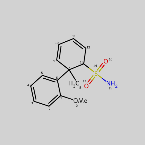 COc1ccccc1C1(C)C=CC=CC1S(N)(=O)=O